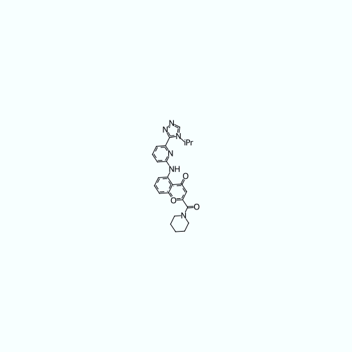 CC(C)n1cnnc1-c1cccc(Nc2cccc3oc(C(=O)N4CCCCC4)cc(=O)c23)n1